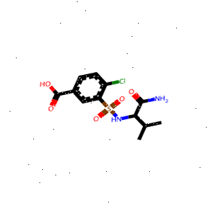 CC(C)C(NS(=O)(=O)c1cc(C(=O)O)ccc1Cl)C(N)=O